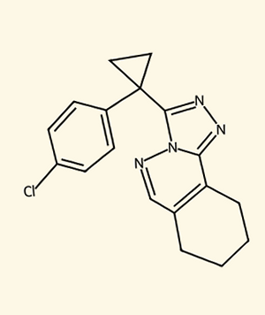 Clc1ccc(C2(c3nnc4c5c(cnn34)CCCC5)CC2)cc1